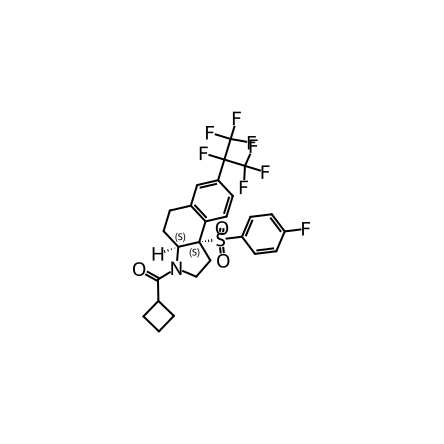 O=C(C1CCC1)N1CC[C@]2(S(=O)(=O)c3ccc(F)cc3)c3ccc(C(F)(C(F)(F)F)C(F)(F)F)cc3CC[C@H]12